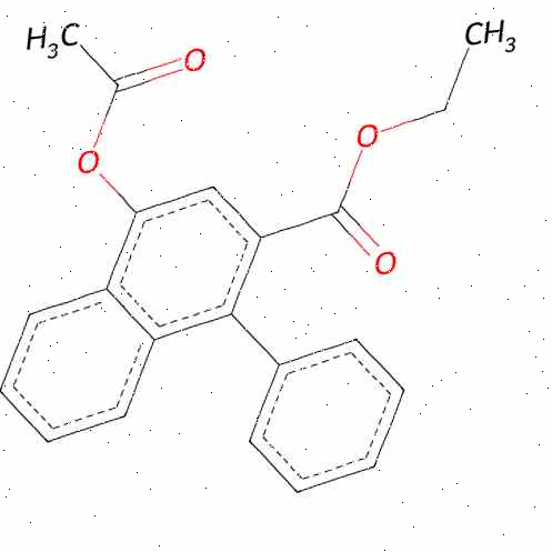 CCOC(=O)c1cc(OC(C)=O)c2ccccc2c1-c1ccccc1